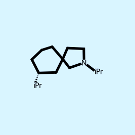 CC(C)[C@@H]1CCCC2(CCN(C(C)C)C2)C1